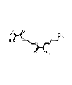 C=C(C)C(=O)OCCOC(=O)C(C)CSCCC